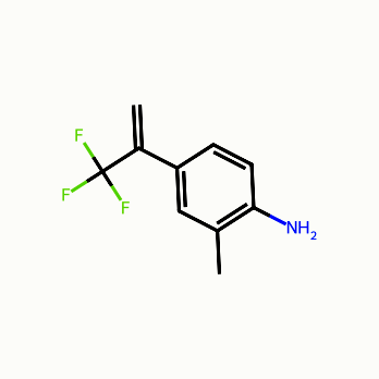 C=C(c1ccc(N)c(C)c1)C(F)(F)F